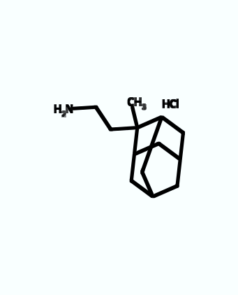 CC1(CCN)C2CC3CC(C2)CC1C3.Cl